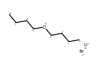 CCCCOCCCC.[Br-].[Li+]